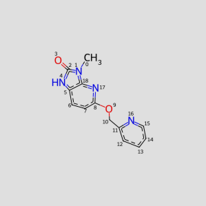 Cn1c(=O)[nH]c2ccc(OCc3ccccn3)nc21